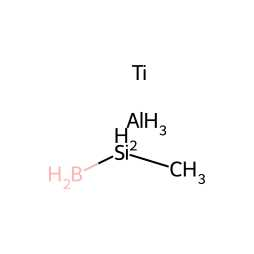 B[SiH2]C.[AlH3].[Ti]